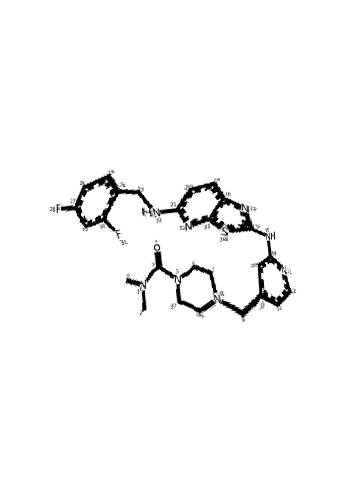 CN(C)C(=O)N1CCN(Cc2ccnc(Nc3nc4ccc(NCc5ccc(F)cc5F)nc4s3)c2)CC1